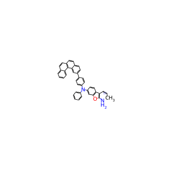 C/C=C\c1c(N)oc2cc(N(c3ccccc3)c3ccc(-c4ccc5ccc6ccc7ccccc7c6c5c4)cc3)ccc12